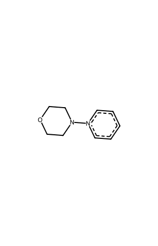 c1cc[n+](N2CCOCC2)cc1